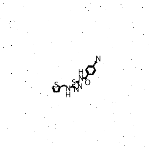 N#Cc1ccc(C(=O)Nc2nnc(NCc3cccs3)s2)cc1